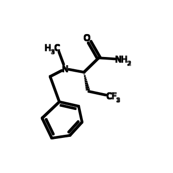 CN(Cc1ccccc1)[C@@H](CC(F)(F)F)C(N)=O